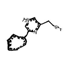 CC(C)Cc1c[nH]c(-c2ccccc2)n1